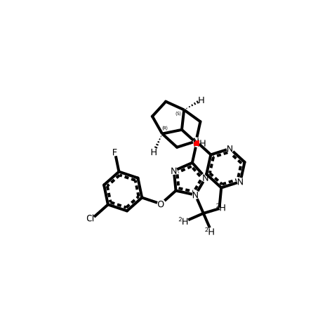 [2H]C([2H])([2H])n1nc(NC2[C@@H]3CC[C@H]2CN(c2cc(C)ncn2)C3)nc1Oc1cc(F)cc(Cl)c1